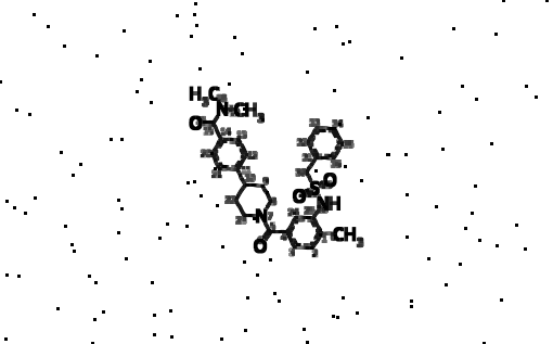 Cc1ccc(C(=O)N2CCC(c3ccc(C(=O)N(C)C)cc3)CC2)cc1NS(=O)(=O)Cc1ccccc1